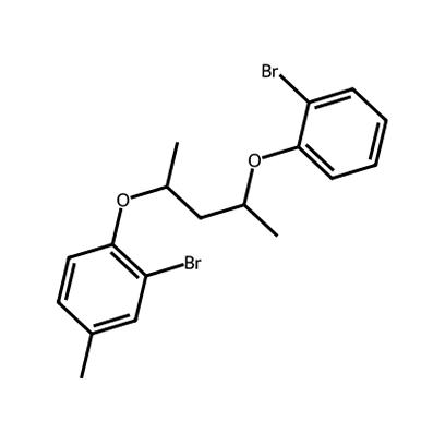 Cc1ccc(OC(C)CC(C)Oc2ccccc2Br)c(Br)c1